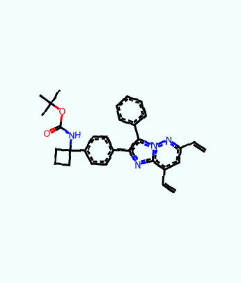 C=Cc1cc(C=C)c2nc(-c3ccc(C4(NC(=O)OC(C)(C)C)CCC4)cc3)c(-c3ccccc3)n2n1